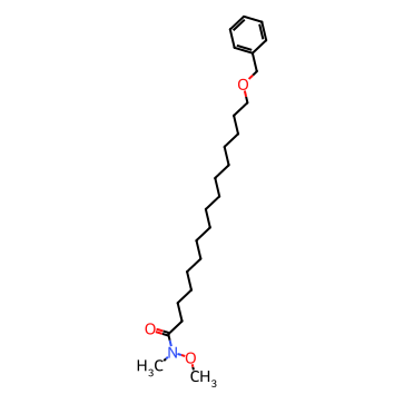 CON(C)C(=O)CCCCCCCCCCCCCCCOCc1ccccc1